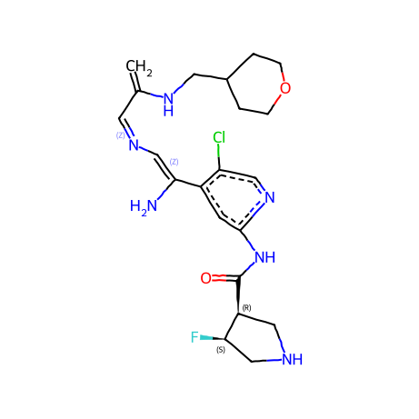 C=C(/C=N\C=C(/N)c1cc(NC(=O)[C@H]2CNC[C@H]2F)ncc1Cl)NCC1CCOCC1